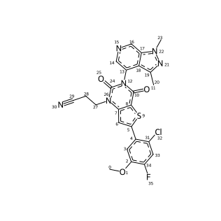 COc1cc(-c2cc3c(s2)c(=O)n(-c2cncc4c2c(C)nn4C)c(=O)n3CCC#N)c(Cl)cc1F